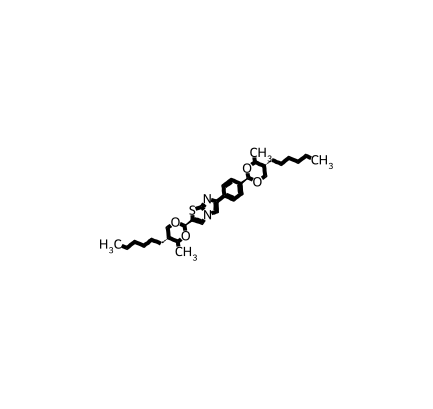 CCCCCC[C@@H]1CO[C@@H](c2ccc(-c3cn4cc([C@@H]5OC[C@@H](CCCCCC)C(C)O5)sc4n3)cc2)OC1C